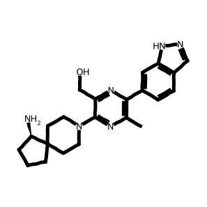 Cc1nc(N2CCC3(CCC[C@H]3N)CC2)c(CO)nc1-c1ccc2cn[nH]c2c1